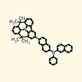 CC1(C)c2cccc3c2-n2c4c1cccc4c1cc(-c4ccc5cc(N(c6ccccc6)c6ccc7ccccc7c6)ccc5c4)cc(c12)C3(C)C